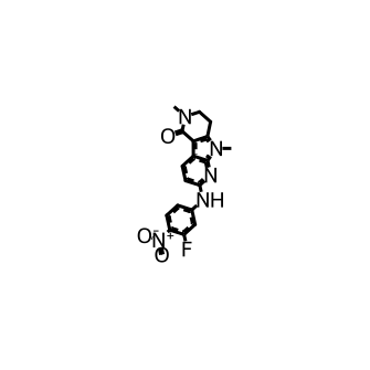 CN1CCc2c(c3ccc(Nc4ccc([N+](=O)[O-])c(F)c4)nc3n2C)C1=O